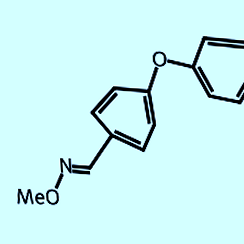 CO/N=C/c1ccc(Oc2ccccc2)cc1